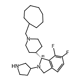 Fc1ccc2c(c1F)[C@@H](C1CCN(CC3CCCCCCC3)CC1)N(C1CCNC1)C2